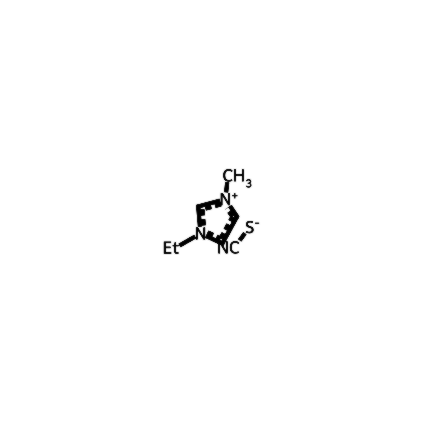 CCn1cc[n+](C)c1.N#C[S-]